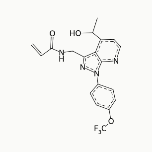 C=CC(=O)NCc1nn(-c2ccc(OC(F)(F)F)cc2)c2nccc(C(C)O)c12